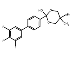 CCCC1(C)COC(O)(c2ccc(-c3cc(F)c(F)c(F)c3)cc2)OC1